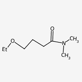 CCOCCCC(=O)N(C)C